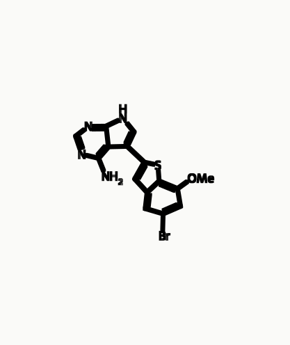 COc1cc(Br)cc2cc(-c3c[nH]c4ncnc(N)c34)sc12